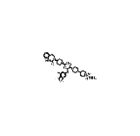 Cc1cc([C@@H](C)C(OC(=O)N2CCC(N3CCc4ccccc4NC3=O)CC2)C(=O)N2CCC(C3CCN(S(N)(=O)=O)CC3)CC2)cc2nn[nH]c12